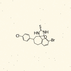 O=C1NC(=S)NC12CC(c1ccc(Cl)cc1)CCc1ccc(Br)cc12